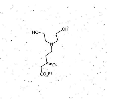 CCOC(=O)CC(=O)CCN(CCO)CCO